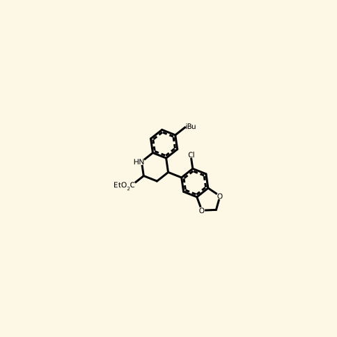 CCOC(=O)C1CC(c2cc3c(cc2Cl)OCO3)c2cc(C(C)CC)ccc2N1